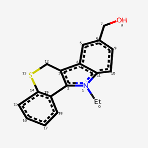 CCn1c2c(c3cc(CO)ccc31)CSc1ccccc1-2